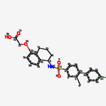 Cc1cc(S(=O)(=O)NC2CCCc3c(OCC(=O)O)cccc32)ccc1-c1ccc(Cl)cc1